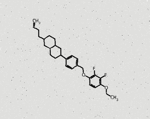 C=CCCC1CCC2CC(c3ccc(COc4ccc(OCC)c(F)c4F)cc3)CCC2C1